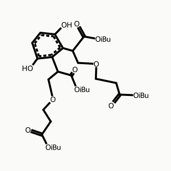 CC(C)COC(=O)CCOCC(C(=O)OCC(C)C)c1c(O)ccc(O)c1C(COCCC(=O)OCC(C)C)C(=O)OCC(C)C